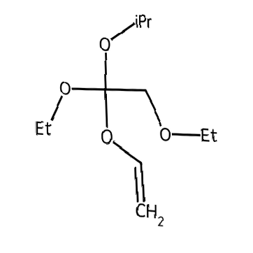 [CH2]COC(COCC)(OC=C)OC(C)C